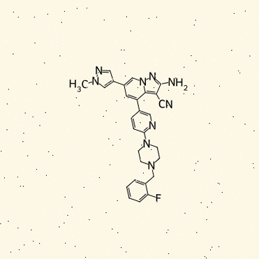 Cn1cc(-c2cc(-c3ccc(N4CCN(Cc5ccccc5F)CC4)nc3)c3c(C#N)c(N)nn3c2)cn1